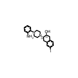 Nc1ccccc1N1CCN([C@H]2Cc3cc(I)ccc3C[C@@H]2O)CC1